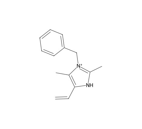 C=Cc1[nH]c(C)[n+](Cc2ccccc2)c1C